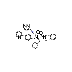 Cn1ccc(/C=C/C(=O)N(Cc2ccc(-c3ccccn3)cc2)[C@@H](Cc2ccccc2)C(=O)N2CCc3ccccc3C2)n1